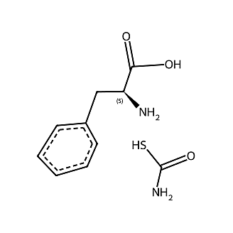 NC(=O)S.N[C@@H](Cc1ccccc1)C(=O)O